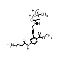 COC(=O)c1ccc(NC(=O)CCCN)cc1C#CCNC(=O)OC(C)(C)C